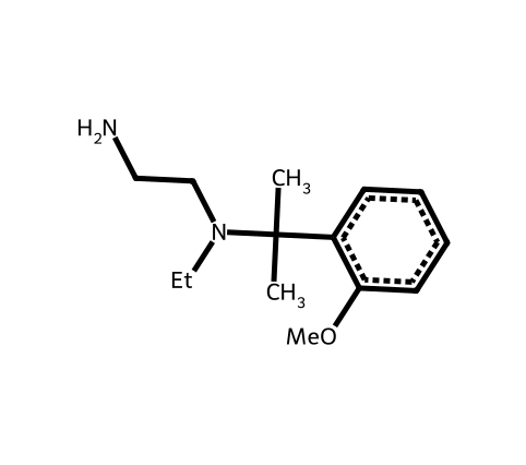 CCN(CCN)C(C)(C)c1ccccc1OC